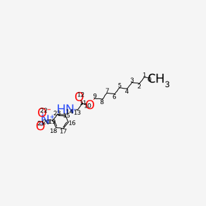 CCCCCCCCCCOC(=O)CNc1cccc([N+](=O)[O-])c1